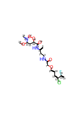 C=C(CCNC(=O)CO/C=C/C=C(/Cl)C(=C)F)NC(=O)C1CC(OC)N(C)OO1